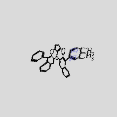 C/C=C\C(=C/C)c1c2c(cc3ccccc13)B1C3=C(C=C=C3Oc3c1cc1ccccc1c3-c1ccccc1)O2